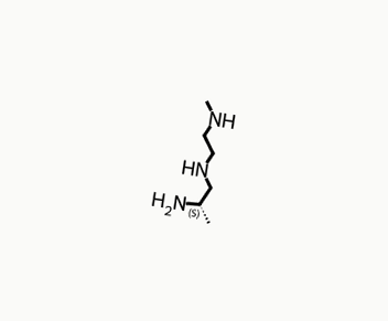 CNCCNC[C@H](C)N